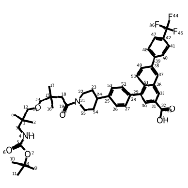 CC(C)(CNC(=O)OC(C)(C)C)COCC(C)(C)CC(=O)N1CCC(c2ccc(-c3cc(C(=O)O)cc4cc(-c5ccc(C(F)(F)F)cc5)ccc34)cc2)CC1